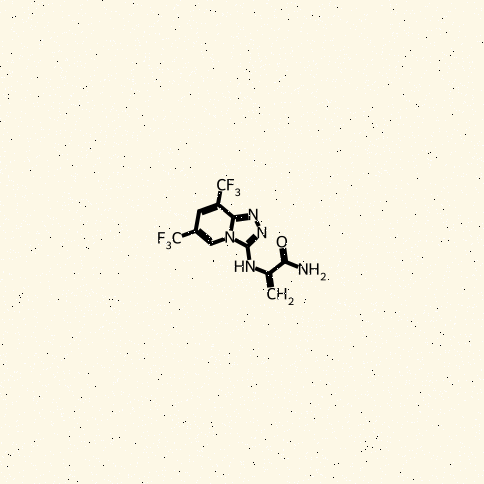 C=C(Nc1nnc2c(C(F)(F)F)cc(C(F)(F)F)cn12)C(N)=O